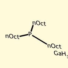 CCCCCCCCP(CCCCCCCC)CCCCCCCC.[GaH3]